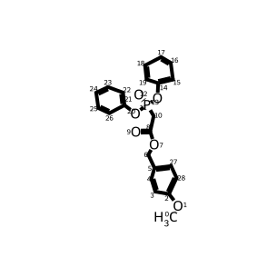 COc1ccc(COC(=O)CP(=O)(Oc2ccccc2)Oc2ccccc2)cc1